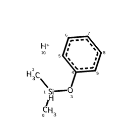 C[SiH](C)Oc1cc[c]cc1.[H+]